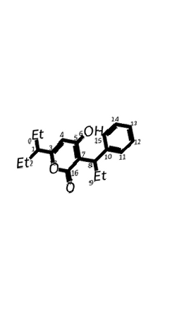 CCC(CC)c1cc(O)c(C(CC)c2ccccc2)c(=O)o1